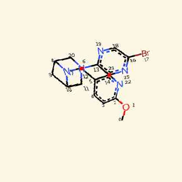 COc1ccc(CN2C3CC2CN(c2cnc(Br)cn2)C3)cn1